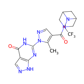 Cc1c(C(=O)N2CC3CC(C2)N3CC(F)(F)F)cnn1-c1nc2[nH]ncc2c(=O)[nH]1